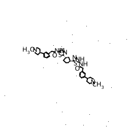 CN1CCC(c2cccc(CC(=O)Nc3nnc([C@H]4CCC[C@H](C5=NNC(NC(=O)Cc6cccc(C7CCN(C)CC7)c6)S5)C4)s3)c2)CC1